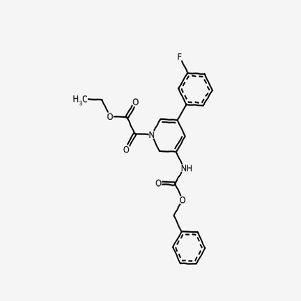 CCOC(=O)C(=O)N1C=C(c2cccc(F)c2)C=C(NC(=O)OCc2ccccc2)C1